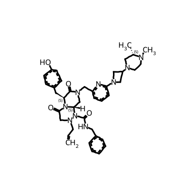 C=CCN1CC(=O)N2[C@@H](Cc3ccc(O)cc3)C(=O)N(Cc3cccc(N4CC(N5CCN(C)[C@@H](C)C5)C4)n3)C[C@@H]2N1C(=O)NCc1ccccc1